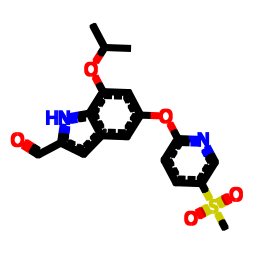 CC(C)Oc1cc(Oc2ccc(S(C)(=O)=O)cn2)cc2cc(C=O)[nH]c12